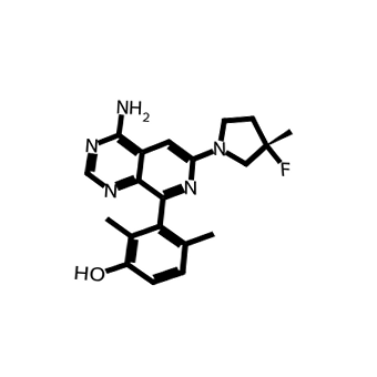 Cc1ccc(O)c(C)c1-c1nc(N2CC[C@](C)(F)C2)cc2c(N)ncnc12